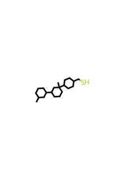 CC1CCCC(C2CCCC(C)(C3CCC(CS)CC3)C2)C1